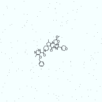 COC(=O)Cn1c2c(c(=O)n3nc(C4=CCOCC4)nc13)C1(CCN(C(=O)c3ncnc(C)c3OCc3ccccc3)CC1)CC2C